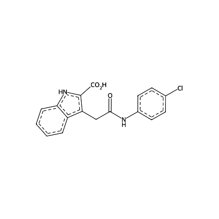 O=C(Cc1c(C(=O)O)[nH]c2ccccc12)Nc1ccc(Cl)cc1